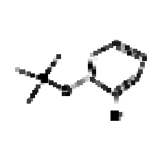 C[Si](C)(C)Oc1ccccc1Br